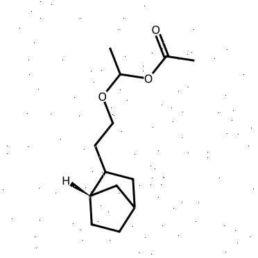 CC(=O)OC(C)OCCC1CC2CC[C@H]1C2